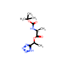 CC(OC(=O)[C@H](C)NC(=O)OC(C)(C)C)c1nnn[nH]1